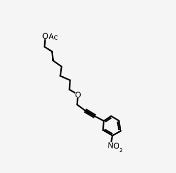 CC(=O)OCCCCCCCOCC#Cc1cccc([N+](=O)[O-])c1